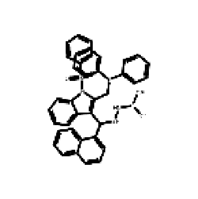 CC(C)(C)[S+]([O-])NBC(c1cccc2ccccc12)c1c(CP(c2ccccc2)c2ccccc2)n(S(=O)(=O)c2ccccc2)c2ccccc12